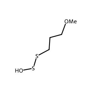 COCCCSSO